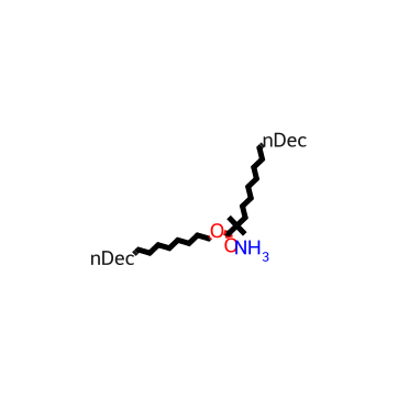 CCCCCCCCCCCCCCCCCCOC(=O)C(C)(C)CCCCCCCCCCCCCCCCCC.N